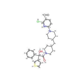 O=Cc1ccc(N2CCC(CC3CCN(C(=O)C(O)(c4ccccc4)c4ccsc4)CC3)CC2)nc1Cl